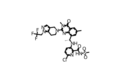 Cc1cc([C@@H](C)Nc2ccc(Cl)nc2C(=O)NS(C)(=O)=O)c2nc(N3CCc4c(cnn4CC(F)(F)F)C3)n(C)c(=O)c2c1